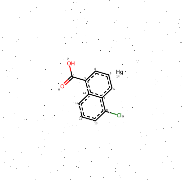 O=C(O)c1cccc2c(Cl)cccc12.[Hg]